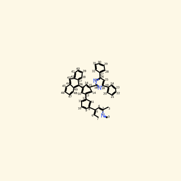 C=N/C(C)=C\C(=C/C)c1cccc(-c2cc(-c3nc(-c4ccccc4)cc(-c4ccccc4)n3)cc(-c3c4ccccc4cc4ccccc34)c2)c1